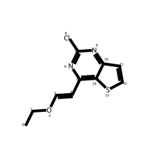 CCOC=Cc1nc(Cl)nc2ccsc12